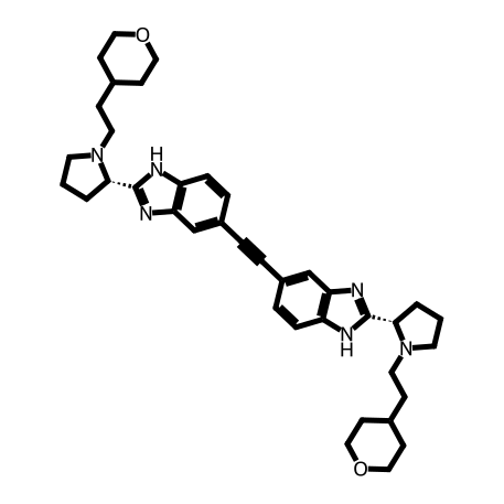 C(#Cc1ccc2[nH]c([C@@H]3CCCN3CCC3CCOCC3)nc2c1)c1ccc2[nH]c([C@@H]3CCCN3CCC3CCOCC3)nc2c1